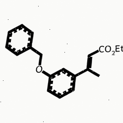 CCOC(=O)C=C(C)c1cccc(OCc2ccccc2)c1